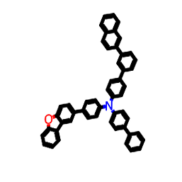 c1ccc(-c2ccc(N(c3ccc(-c4cccc(-c5ccc6ccccc6c5)c4)cc3)c3ccc(-c4ccc5oc6ccccc6c5c4)cc3)cc2)cc1